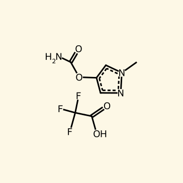 Cn1cc(OC(N)=O)cn1.O=C(O)C(F)(F)F